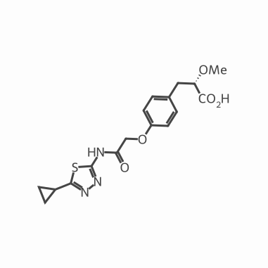 CO[C@@H](Cc1ccc(OCC(=O)Nc2nnc(C3CC3)s2)cc1)C(=O)O